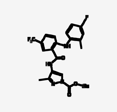 Cc1cc(F)ccc1Nc1ccc(C(F)(F)F)cc1C(=O)Nc1cn(C(=O)OC(C)(C)C)nc1C